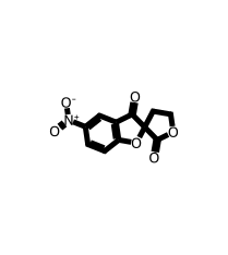 O=C1OCCC12Oc1ccc([N+](=O)[O-])cc1C2=O